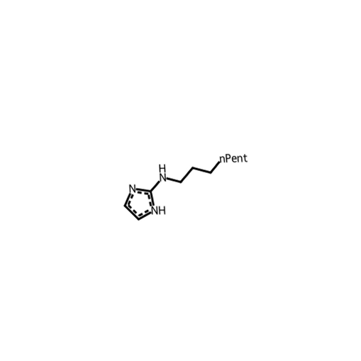 CCCCCCCCNc1ncc[nH]1